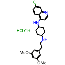 COc1cc(CCNC2CCC(Nc3ccnc4cc(Cl)ccc34)CC2)cc(OC)c1.Cl.Cl